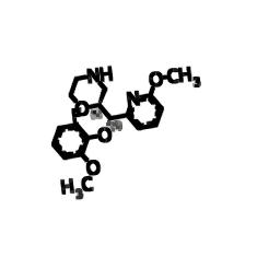 COc1cccc([C@H](Oc2c(F)cccc2OC)[C@@H]2CNCCO2)n1